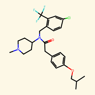 CC(C)COc1ccc(CC(=O)N(Cc2ccc(Cl)cc2C(F)(F)F)C2CCN(C)CC2)cc1